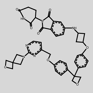 O=C1CCC(N2C(=O)c3ccc(NC4CC(Oc5ccc(C6(c7ccc(OCc8ccnc(N9CC%10(COC%10)C9)n8)cc7)COC6)cc5)C4)cc3C2=O)C(=O)N1